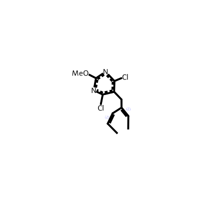 C/C=C\C(=C/C)Cc1c(Cl)nc(OC)nc1Cl